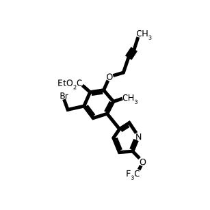 CC#CCOc1c(C)c(-c2ccc(OC(F)(F)F)nc2)cc(CBr)c1C(=O)OCC